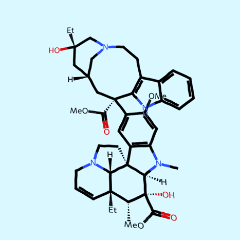 CC[C@]1(O)C[C@@H]2CN(CCc3c([nH]c4ccccc34)[C@@](C(=O)OC)(c3cc4c(cc3OC)N(C)[C@H]3[C@@](O)(C(=O)OC)[C@H](C)[C@]5(CC)C=CCN6CC[C@]43[C@@H]65)C2)C1